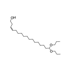 CCCOC(CCCCCCCCCCCC/C=C\CCO)OCCC